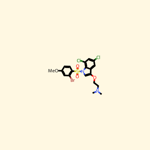 COc1ccc(S(=O)(=O)n2cc(OCCN(C)C)c3cc(Cl)cc(Cl)c32)c(Br)c1